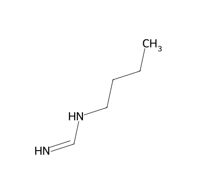 CCCCNC=N